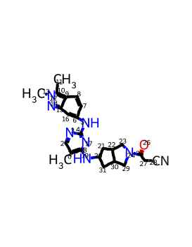 Cc1cnc(Nc2ccc3c(C)n(C)nc3c2)nc1NC1CC2CN(C(=O)CC#N)CC2C1